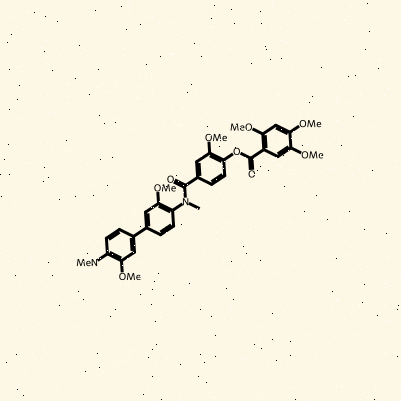 CNc1ccc(-c2ccc(N(C)C(=O)c3ccc(OC(=O)c4cc(OC)c(OC)cc4OC)c(OC)c3)c(OC)c2)cc1OC